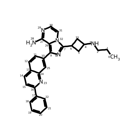 CCCNC1CC(c2nc(-c3ccc4ccc(-c5ccccc5)nc4c3)c3c(N)nccn23)C1